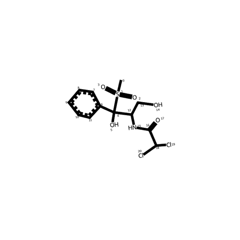 CS(=O)(=O)C(O)(c1ccccc1)C(CO)NC(=O)C(Cl)Cl